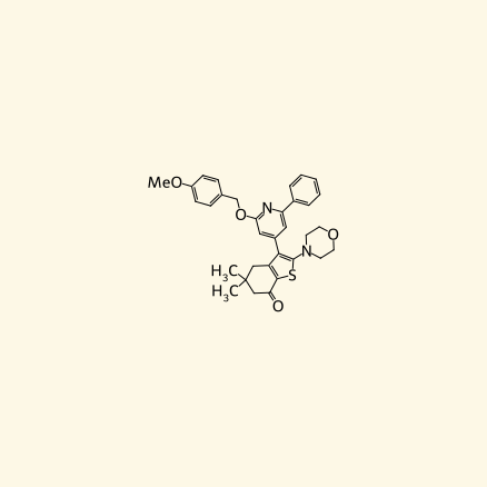 COc1ccc(COc2cc(-c3c(N4CCOCC4)sc4c3CC(C)(C)CC4=O)cc(-c3ccccc3)n2)cc1